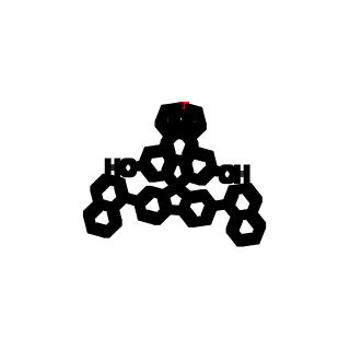 Oc1cc(C2(c3cc(O)cc4c3ccc3ccccc34)c3cc(-c4cccc5ccccc45)ccc3-c3ccc(-c4cccc5ccccc45)cc32)c2ccc3ccccc3c2c1